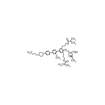 C=C(C)C(=O)OCCCc1cc(-c2ccc(-c3ccc(C4CCC(CCCC)CC4)cc3)cc2CC)cc(CCCOC(=O)C(=C)C)c1OCCC(CO)(CO)CCCC